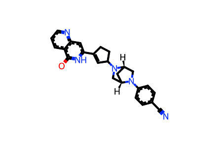 N#Cc1ccc(N2C[C@@H]3C[C@H]2CN3C2C=C(c3cc4ncccc4c(=O)[nH]3)CC2)cc1